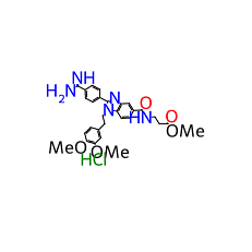 COC(=O)CCNC(=O)c1ccc2c(c1)nc(-c1ccc(C(=N)N)cc1)n2CCc1ccc(OC)c(OC)c1.Cl